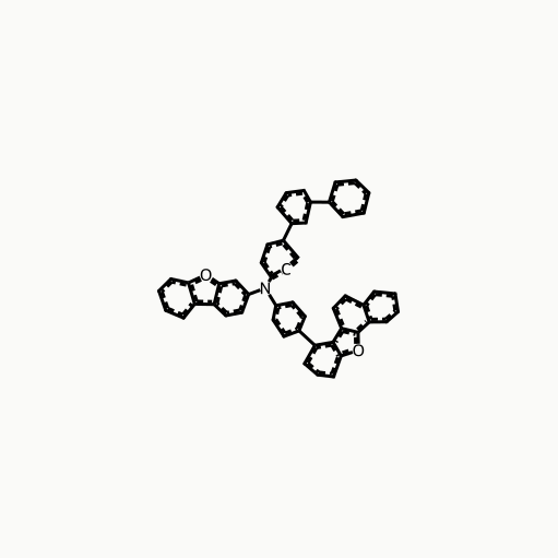 c1ccc(-c2cccc(-c3ccc(N(c4ccc(-c5cccc6oc7c8ccccc8ccc7c56)cc4)c4ccc5c(c4)oc4ccccc45)cc3)c2)cc1